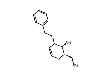 OC[C@H]1OC=C[C@@H](OCc2ccccc2)[C@H]1O